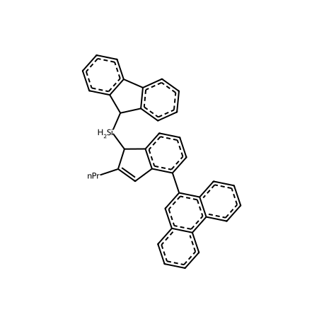 CCCC1=Cc2c(-c3cc4ccccc4c4ccccc34)cccc2C1[SiH2]C1c2ccccc2-c2ccccc21